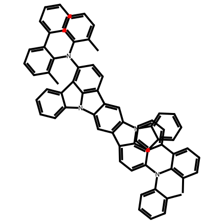 Cc1ccccc1N(c1c(C)cccc1-c1ccccc1)c1ccc2c3cc4c(cc3n3c5ccccc5c1c23)c1ccc(N(c2ccccc2C)c2c(C)cccc2-c2ccccc2)c2c3ccccc3n4c12